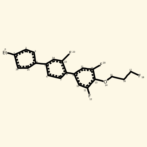 CCc1ccc(-c2ccc(-c3cc(F)c(OCCCF)c(F)c3)c(F)c2)cc1